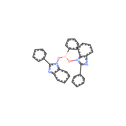 c1ccc(B(On2c(-c3ccccc3)nc3ccccc32)On2c(-c3ccccc3)nc3ccccc32)cc1